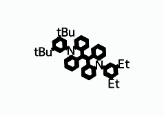 CCc1cc(CC)cc(N2c3ccccc3C(=C3c4ccccc4N(c4cc(C(C)(C)C)cc(C(C)(C)C)c4)c4ccccc43)c3ccccc32)c1